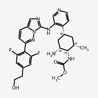 COC(=O)N[C@@H]1[C@H](N)C[C@H](c2ccncc2Nc2ncc3ccc(-c4c(F)cc(CCO)cc4F)nn23)C[C@@H]1C